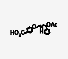 CC(=O)OC(CNCCOc1ccc(CC(=O)O)cc1)c1ccccc1